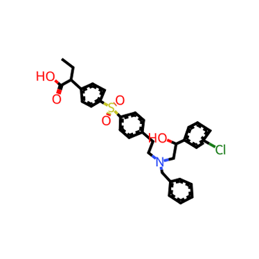 CCC(C(=O)O)c1ccc(S(=O)(=O)c2ccc(CCN(Cc3ccccc3)CC(O)c3cccc(Cl)c3)cc2)cc1